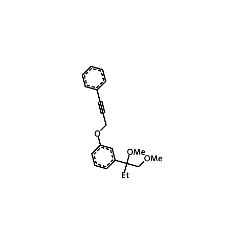 CCC(COC)(OC)c1cccc(OCC#Cc2ccccc2)c1